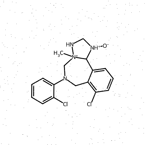 C[N+]12CN(c3ccccc3Cl)Cc3c(Cl)cccc3C1[NH+]([O-])CN2